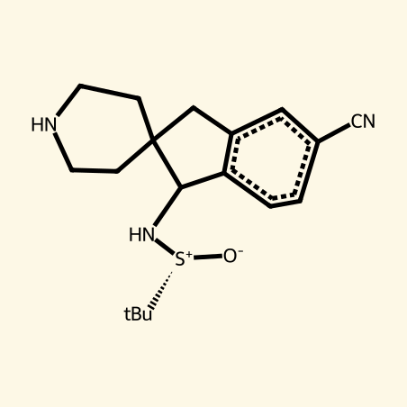 CC(C)(C)[S@@+]([O-])NC1c2ccc(C#N)cc2CC12CCNCC2